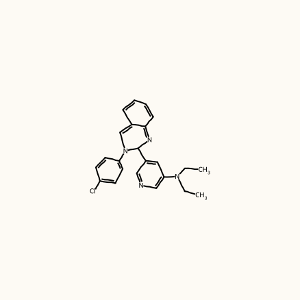 CCN(CC)c1cncc(C2N=c3ccccc3=CN2c2ccc(Cl)cc2)c1